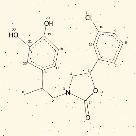 CC(CN1CC(c2cccc(Cl)c2)OC1=O)c1ccc(O)c(O)c1